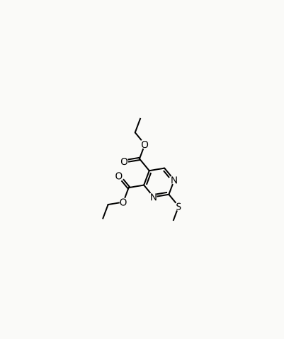 CCOC(=O)c1cnc(SC)nc1C(=O)OCC